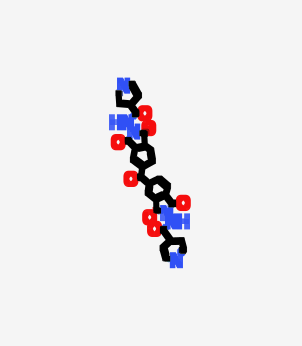 O=C(NN1C(=O)c2ccc(C(=O)c3ccc4c(c3)C(=O)N(NC(=O)c3ccncc3)C4=O)cc2C1=O)c1ccncc1